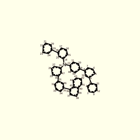 c1ccc(-c2cccc(-c3ccc(N(c4cccc(-c5ccccc5)c4)c4cccc(-c5cccc(-c6cccc7ccccc67)c5)c4)cc3)c2)cc1